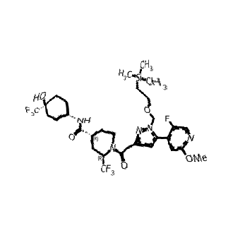 COc1cc(-c2cc(C(=O)N3CC[C@@H](C(=O)N[C@H]4CC[C@@](O)(C(F)(F)F)CC4)C[C@@H]3C(F)(F)F)nn2COCC[Si](C)(C)C)c(F)cn1